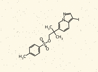 Cc1ccc(S(=O)(=O)OCC(C)(C)c2ccc3c(I)cnn3c2)cc1